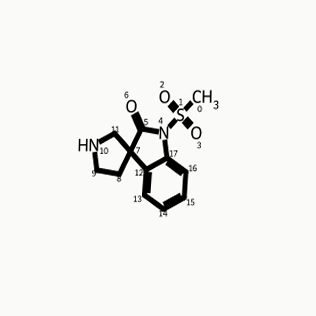 CS(=O)(=O)N1C(=O)C2(CCNC2)c2ccccc21